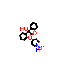 O=C(OC1CC[NH+]([O-])CC1)C(O)(c1ccccc1)c1ccccc1